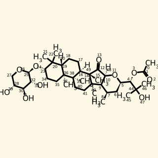 CC(=O)O[C@@H]([C@H]1C[C@@H](C)C2[C@H](O1)C(=O)[C@@]1(C)[C@@H]3CC[C@H]4C(C)(C)[C@@H](O[C@@H]5OC[C@@H](O)[C@H](O)[C@H]5O)CC[C@]4(C)[C@]3(C)CC[C@]21C)C(C)(C)O